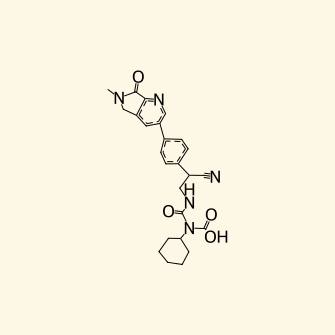 CN1Cc2cc(-c3ccc(C(C#N)CNC(=O)N(C(=O)O)C4CCCCC4)cc3)cnc2C1=O